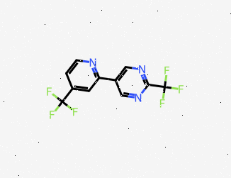 FC(F)(F)c1ccnc(-c2cnc(C(F)(F)F)nc2)c1